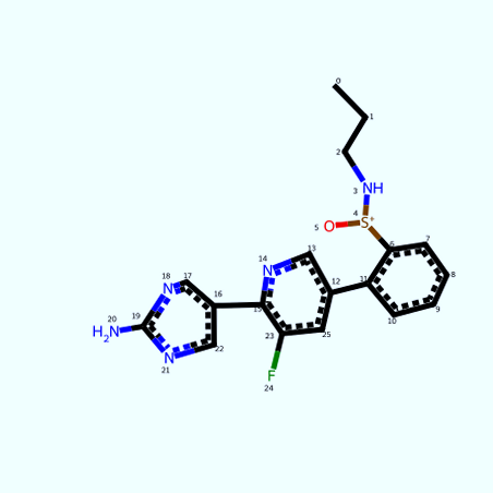 CCCN[S+]([O-])c1ccccc1-c1cnc(-c2cnc(N)nc2)c(F)c1